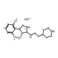 CN1C(NCCN2CCNCC2)NCC1c1c(Cl)cccc1Cl.Cl